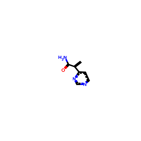 C=C(C(N)=O)c1ccncn1